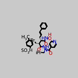 CC(C)C[C@@H](C(=O)NN(CC(C)C)C(=O)c1ccncc1)[C@H](CC=Cc1ccccc1)C(=O)NO.Cc1ccc(S(=O)(=O)O)cc1